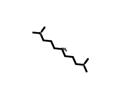 CN(C)CCC[SiH2]CCCN(C)C